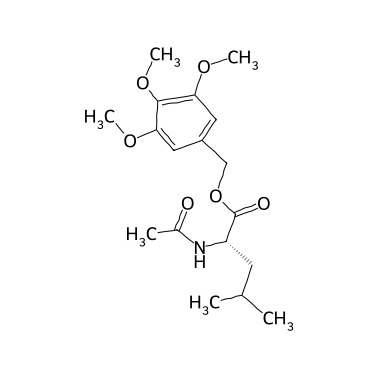 COc1cc(COC(=O)[C@H](CC(C)C)NC(C)=O)cc(OC)c1OC